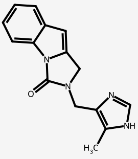 Cc1[nH]cnc1CN1Cc2cc3ccccc3n2C1=O